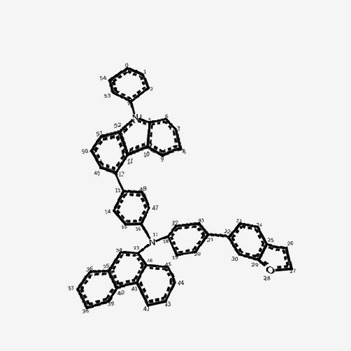 c1ccc(-n2c3ccccc3c3c(-c4ccc(N(c5ccc(-c6ccc7ccoc7c6)cc5)c5cc6ccccc6c6ccccc56)cc4)cccc32)cc1